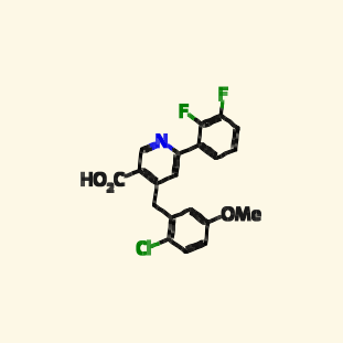 COc1ccc(Cl)c(Cc2cc(-c3cccc(F)c3F)ncc2C(=O)O)c1